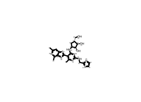 Cc1cc2sc(-c3c(C)nc(NCc4nccs4)nc3NC3C[C@H](CO)[C@@H](O)[C@H]3O)nc2c(C)n1